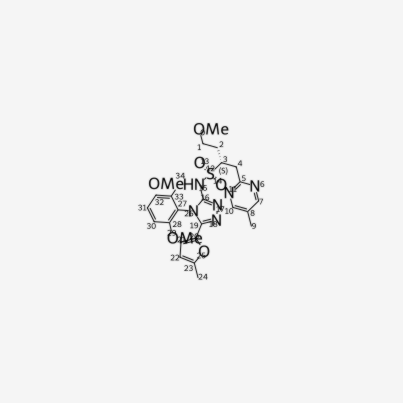 COCC[C@H](Cc1ncc(C)cn1)S(=O)(=O)Nc1nnc(-c2ccc(C)o2)n1-c1c(OC)cccc1OC